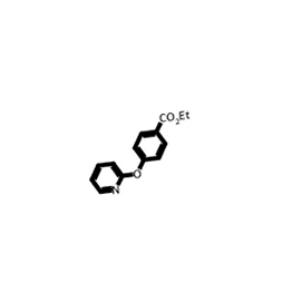 CCOC(=O)c1ccc(Oc2ccccn2)cc1